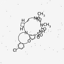 Cc1cc2nn1C/C=C/[C@@H]1CC[C@H]1CN1CCCCc3cc(Cl)ccc3COc3ccc(cc31)S(=O)(=O)NC(=O)N2C